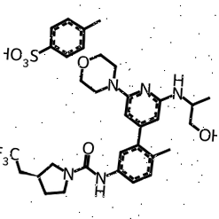 Cc1ccc(NC(=O)N2CC[C@@H](CC(F)(F)F)C2)cc1-c1cc(NC(C)CO)nc(N2CCOCC2)c1.Cc1ccc(S(=O)(=O)O)cc1